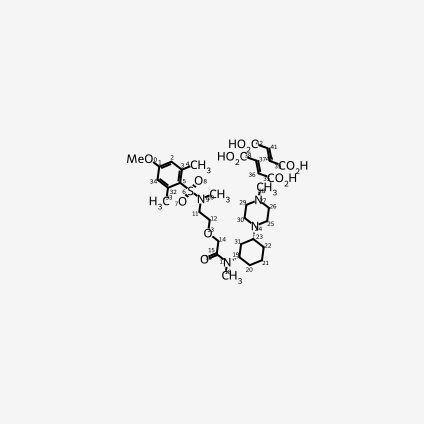 COc1cc(C)c(S(=O)(=O)N(C)CCOCC(=O)N(C)[C@H]2CCC[C@@H](N3CCN(C)CC3)C2)c(C)c1.O=C(O)C=CC(=O)O.O=C(O)C=CC(=O)O